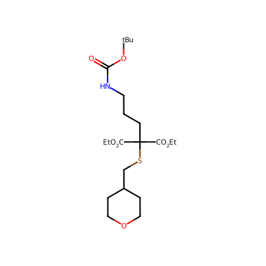 CCOC(=O)C(CCCNC(=O)OC(C)(C)C)(SCC1CCOCC1)C(=O)OCC